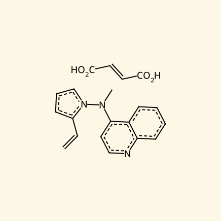 C=Cc1cccn1N(C)c1ccnc2ccccc12.O=C(O)C=CC(=O)O